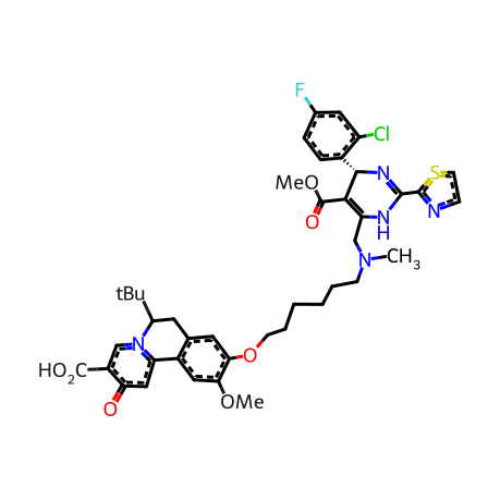 COC(=O)C1=C(CN(C)CCCCCCOc2cc3c(cc2OC)-c2cc(=O)c(C(=O)O)cn2C(C(C)(C)C)C3)NC(c2nccs2)=N[C@H]1c1ccc(F)cc1Cl